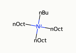 CCCCCCCC[N+](CCCC)(CCCCCCCC)CCCCCCCC